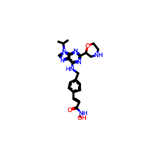 CC(C)n1cnc2c(NCc3ccc(/C=C/C(=O)NO)cc3)nc(C3CNCCO3)nc21